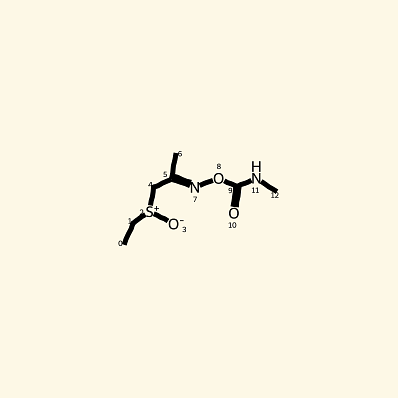 CC[S+]([O-])CC(C)=NOC(=O)NC